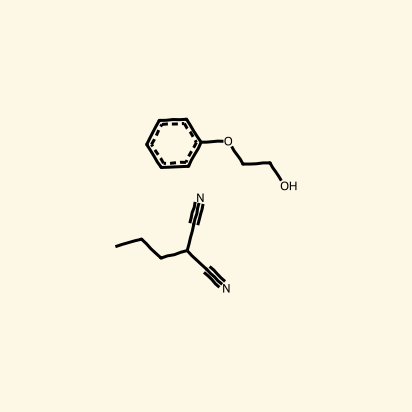 CCCC(C#N)C#N.OCCOc1ccccc1